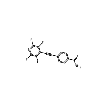 NC(=O)c1ccc(C#Cc2c(F)c(F)nc(F)c2F)cc1